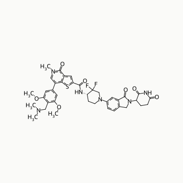 COc1cc(-c2cn(C)c(=O)c3cc(C(=O)N[C@H]4CCN(c5ccc6c(c5)C(=O)N(C5CCC(=O)NC5=O)C6)CC4(F)F)sc23)cc(OC)c1CN(C)C